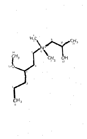 CCCC(CC[N+](C)(C)CC(C)O)OC